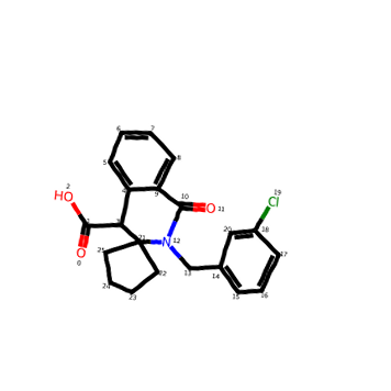 O=C(O)C1c2ccccc2C(=O)N(Cc2cccc(Cl)c2)C12CCCC2